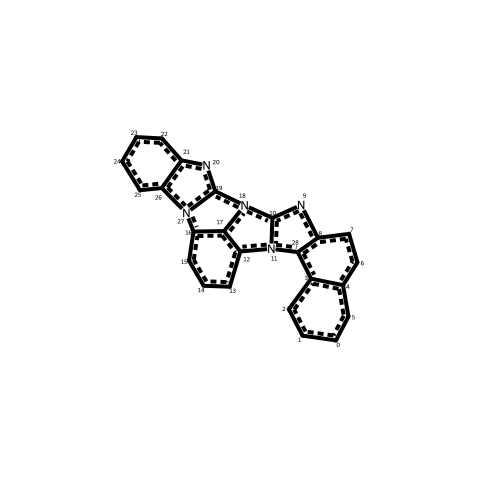 c1ccc2c(c1)ccc1nc3n(c4cccc5c4n3c3nc4ccccc4n53)c12